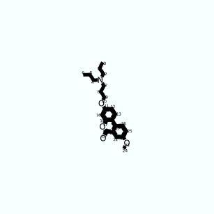 CCCN(CCC)CCCOc1ccc2c(c1)oc(=O)c1cc(OC)ccc12